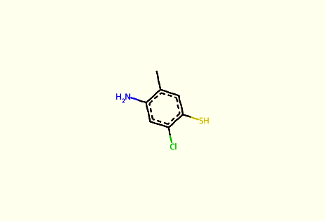 Cc1cc(S)c(Cl)cc1N